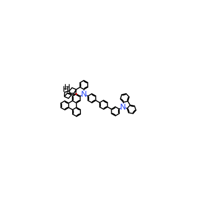 c1cc(-c2ccc(-c3ccc(N(c4ccc5c6ccccc6c6ccccc6c5c4)c4ccccc4C45C[C@@H]6CC7CC6(C4)[C@@H]7C5)cc3)cc2)cc(-n2c3ccccc3c3ccccc32)c1